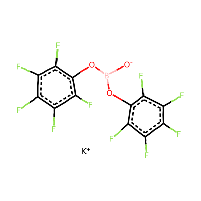 [K+].[O-]B(Oc1c(F)c(F)c(F)c(F)c1F)Oc1c(F)c(F)c(F)c(F)c1F